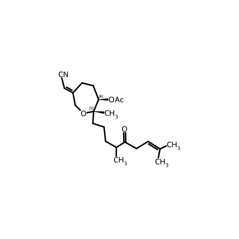 CC(=O)O[C@@H]1CCC(=CC#N)CO[C@@]1(C)CCCC(C)C(=O)CC=C(C)C